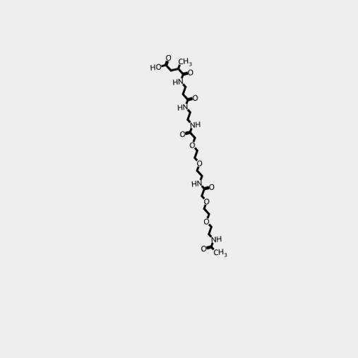 CC(=O)NCCOCCOCC(=O)NCCOCCOCC(=O)NCCNC(=O)CCNC(=O)C(C)CC(=O)O